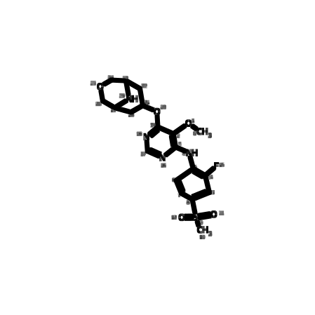 COc1c(Nc2ccc(S(C)(=O)=O)cc2F)ncnc1OC1CC2COCC(C1)N2